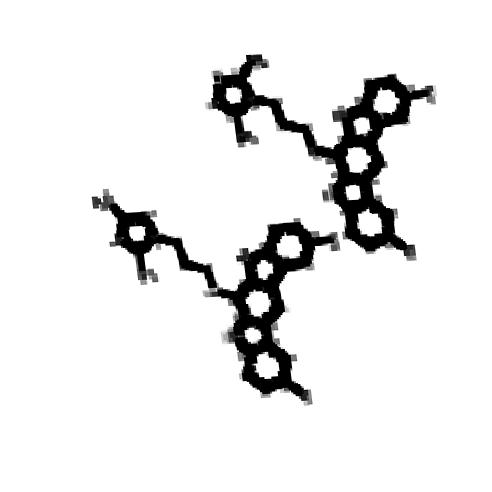 Nc1nc(N)n(CCCOc2c3[nH]c4ccc(Cl)cc4c3cc3c2[nH]c2ccc(Cl)cc23)n1.Nc1nnc(N)n1CCCOc1c2[nH]c3ccc(Cl)cc3c2cc2c1[nH]c1ccc(Cl)cc12